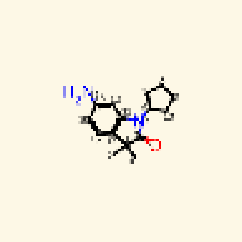 CC1(C)C(=O)N(C2CCCC2)c2cc(N)ccc21